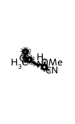 COc1cc(C#N)ccc1NCC#Cc1ccc(C(=O)c2ccccc2)c(C)c1